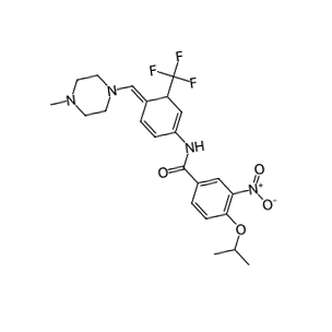 CC(C)Oc1ccc(C(=O)NC2=CC(C(F)(F)F)C(=CN3CCN(C)CC3)C=C2)cc1[N+](=O)[O-]